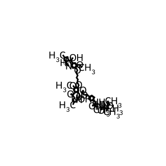 COc1cc2c(cc1OCCCCCOc1cc3c(cc1OC)C(=O)N1C=C(C)C[C@H]1[C@H](O)N3C(=O)OCc1ccc(NC(=O)[C@H](C)NC(=O)[C@@H](NC(C)=O)C(C)C)cc1)N=C[C@@H]1CC(C)=CN1C2O